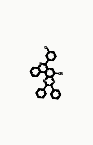 N#Cc1cc2c(-c3cccc(Cl)c3)nc3ccccc3c2c2nc(-c3ccccc3)c(-c3ccccc3)nc12